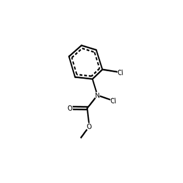 COC(=O)N(Cl)c1ccccc1Cl